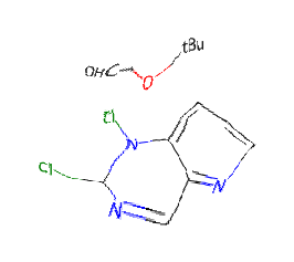 CC(C)(C)OC=O.ClC1N=Cc2ncccc2N1Cl